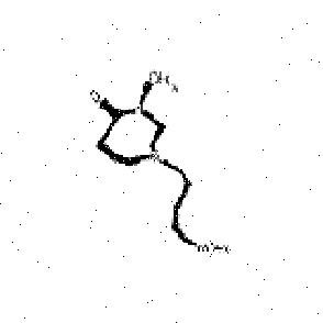 CCCCCCCCN1CCC(=O)N(C)C1